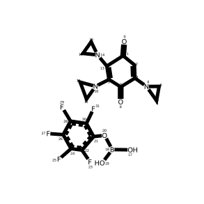 O=C1C=C(N2CC2)C(=O)C(N2CC2)=C1N1CC1.OB(O)Oc1c(F)c(F)c(F)c(F)c1F